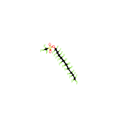 O=S(=O)(OC(F)(F)C(F)(F)C(F)(F)C(F)(F)C(F)(F)C(F)(F)C(F)(F)C(F)(F)C(F)(F)C(F)(F)F)C(F)(F)F